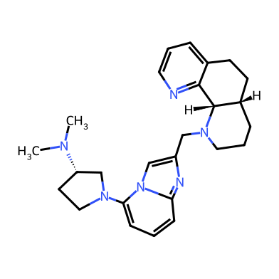 CN(C)[C@H]1CCN(c2cccc3nc(CN4CCC[C@H]5CCc6cccnc6[C@H]54)cn23)C1